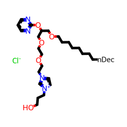 CCCCCCCCCCCCCCCCCCOCC(COCCOCCn1cc[n+](CCCO)c1)Oc1ncccn1.[Cl-]